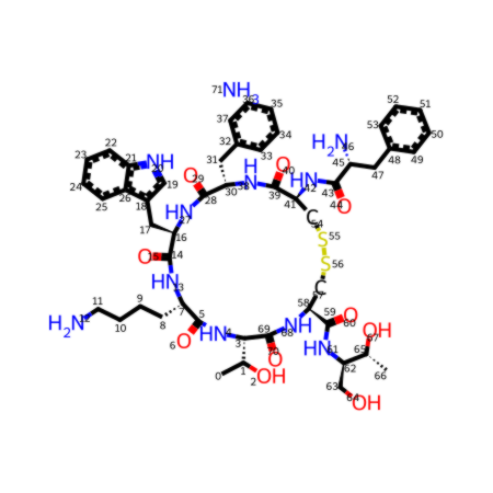 CC(O)[C@@H]1NC(=O)[C@H](CCCCN)NC(=O)[C@@H](Cc2c[nH]c3ccccc23)NC(=O)[C@H](Cc2ccccc2)NC(=O)[C@@H](NC(=O)[C@H](N)Cc2ccccc2)CSSC[C@@H](C(=O)N[C@H](CO)[C@@H](C)O)NC1=O.N